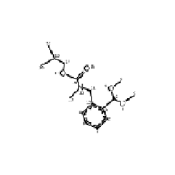 COC(OC)c1ccccc1CN(C)C(=O)OCC(C)C